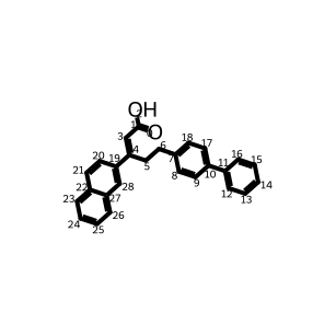 O=C(O)/C=C(\CCc1ccc(-c2ccccc2)cc1)c1ccc2ccccc2c1